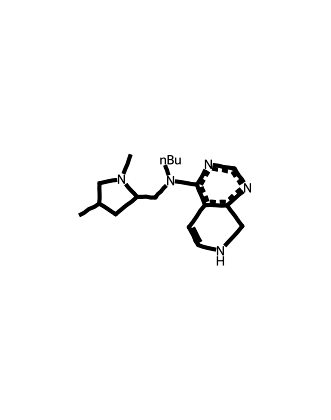 CCCCN(CC1CC(C)CN1C)c1ncnc2c1C=CNC2